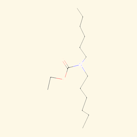 CCCCCCN(CCCCCC)C(=O)OCC